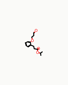 CC(C)OC(=O)CCc1ccccc1OCCC=O